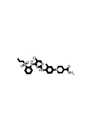 CCCS(=O)(=O)c1ccccc1Nc1nc(Nc2ccc(N3CCC(C(N)=O)CC3)cc2C)ncc1Cl